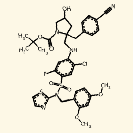 COc1ccc(CN(c2nccs2)S(=O)(=O)c2cc(Cl)c(NCC3(Cc4ccc(C#N)cc4)CC(O)CN3C(=O)OC(C)(C)C)cc2F)c(OC)c1